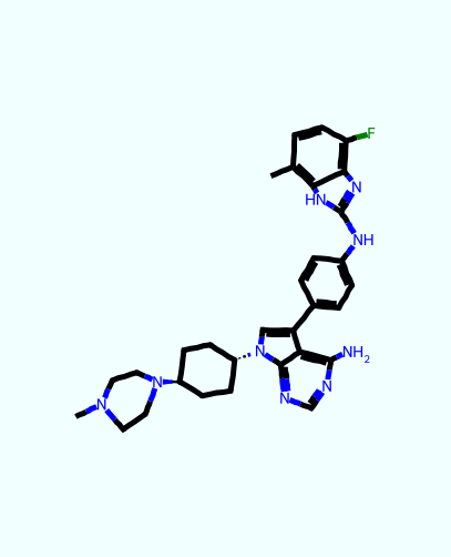 Cc1ccc(F)c2nc(Nc3ccc(-c4cn([C@H]5CC[C@H](N6CCN(C)CC6)CC5)c5ncnc(N)c45)cc3)[nH]c12